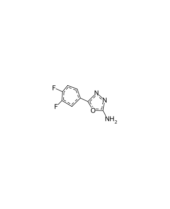 Nc1nnc(-c2ccc(F)c(F)c2)o1